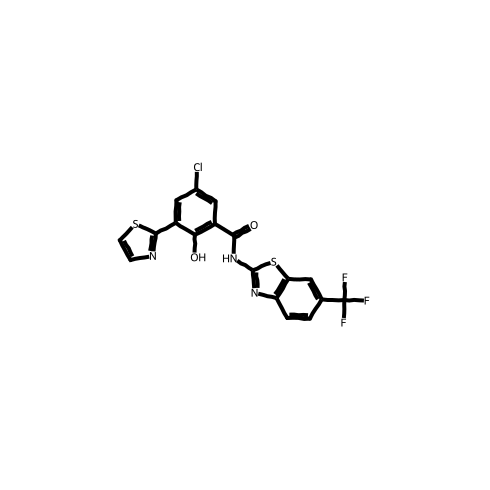 O=C(Nc1nc2ccc(C(F)(F)F)cc2s1)c1cc(Cl)cc(-c2nccs2)c1O